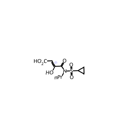 CCCN(C(=O)/C(O)=C/C(=O)O)S(=O)(=O)C1CC1